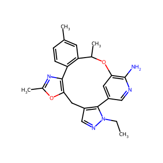 CCn1ncc2c1-c1cnc(N)c(c1)OC(C)c1cc(C)ccc1-c1nc(C)oc1C2